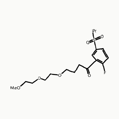 COCCOCCOCCCC(=O)c1cc(S(=O)(=O)C(C)C)ccc1F